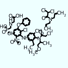 C=CCN(CC=C)C(=O)C(Cl)Cl.CCc1cccc(C)c1N(C(=O)CCl)C(C)COC.Nc1c([N+](=O)[O-])ccc(Oc2ccccc2)c1Cl.O=C(O)CNCP(=O)(O)O